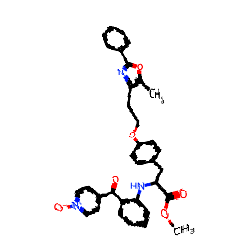 COC(=O)C(Cc1ccc(OCCc2nc(-c3ccccc3)oc2C)cc1)Nc1ccccc1C(=O)c1cc[n+]([O-])cc1